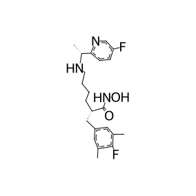 Cc1cc(C[C@H](CCCCN[C@H](C)c2ccc(F)cn2)C(=O)NO)cc(C)c1F